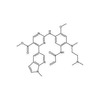 C=CC(=O)Nc1cc(Nc2ncc(C(=O)OC)c(-c3cnc4c(ccn4C)c3)n2)c(OC)cc1N(C)CCN(C)C